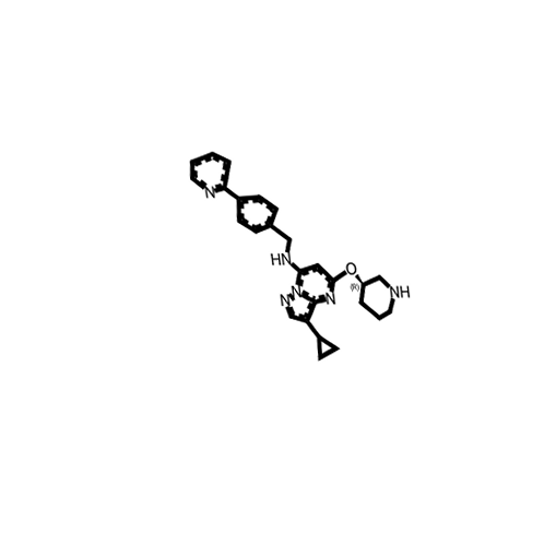 c1ccc(-c2ccc(CNc3cc(O[C@@H]4CCCNC4)nc4c(C5CC5)cnn34)cc2)nc1